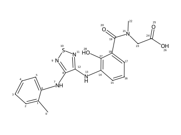 Cc1ccccc1Nc1nsnc1Nc1cccc(C(=O)N(C)CC(=O)O)c1O